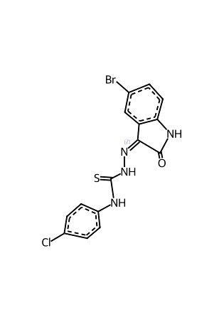 O=C1Nc2ccc(Br)cc2/C1=N/NC(=S)Nc1ccc(Cl)cc1